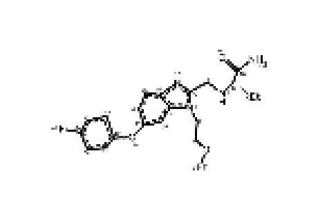 CCOCCn1c(CN[C@@H](CC)C(N)=O)nc2ccc(Oc3ccc(F)cc3)cc21